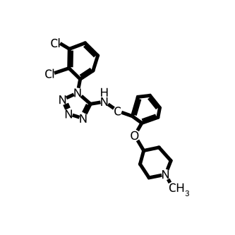 CN1CCC(Oc2ccccc2CNc2nnnn2-c2cccc(Cl)c2Cl)CC1